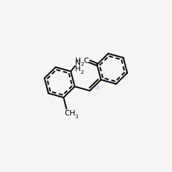 C=c1cccc/c1=C/c1c(C)cccc1N